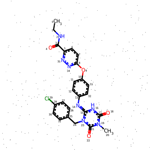 CCNC(=O)c1ccc(Oc2ccc(/N=c3\[nH]c(=O)n(C)c(=O)n3Cc3ccc(Cl)cc3)cc2)nn1